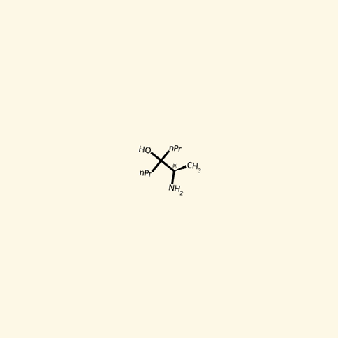 CCCC(O)(CCC)[C@@H](C)N